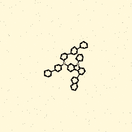 c1ccc(-c2ccc(-c3cccc(N(c4ccc(-c5ccccc5)cc4)c4ccc5c6c(-c7ccc8ccccc8c7)cccc6n(-c6ccccc6)c5c4)c3)cc2)cc1